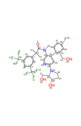 CN(C(=O)C(C)(C)c1cc(C(F)(F)F)cc(C(F)(F)F)c1)c1cnc(N2CCC(O)C2CO)cc1-c1ccc(F)cc1CO